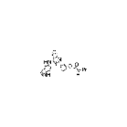 CC(C)NC(=O)COc1cccc(-c2nc3c(c(Nc4ccc5[nH]ncc5c4)n2)COC3)c1